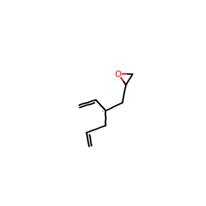 C=CC[C](C=C)CC1CO1